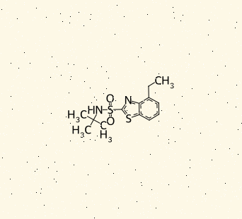 CCc1cccc2sc(S(=O)(=O)NC(C)(C)C)nc12